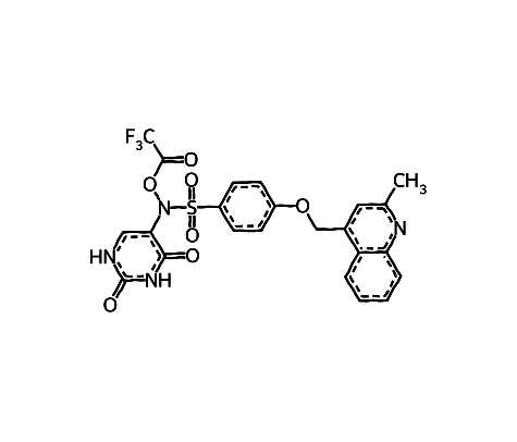 Cc1cc(COc2ccc(S(=O)(=O)N(OC(=O)C(F)(F)F)c3c[nH]c(=O)[nH]c3=O)cc2)c2ccccc2n1